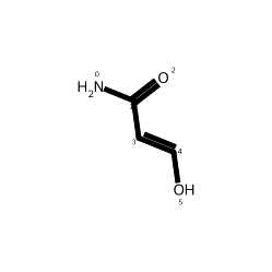 NC(=O)C=CO